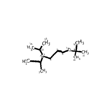 CC(C)[Si](CCCOC(C)(C)C)C(C)C